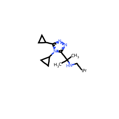 CC(C)CNC(C)(C)c1nnc(C2CC2)n1C1CC1